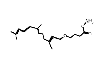 CC(C)=CCCC(C)=CCCC(C)=CCOCCCC(=O)ON